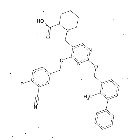 Cc1c(COc2ncc(CN3CCCCC3C(=O)O)c(OCc3ccc(F)c(C#N)c3)n2)cccc1-c1ccccc1